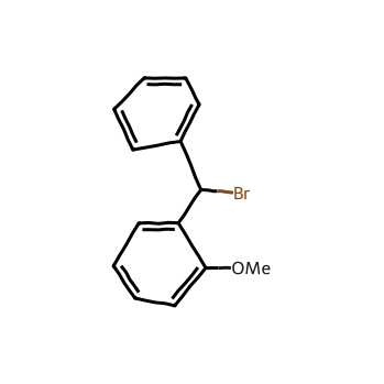 COc1ccccc1C(Br)c1ccccc1